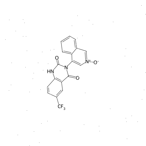 O=c1[nH]c2ccc(C(F)(F)F)cc2c(=O)n1-c1c[n+]([O-])cc2ccccc12